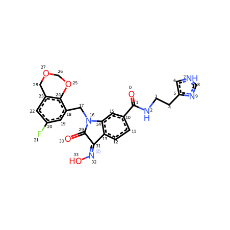 O=C(NCCc1c[nH]cn1)c1ccc2c(c1)N(Cc1cc(F)cc3c1OCOC3)C(=O)/C2=N\O